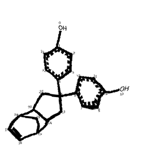 Oc1ccc(C2(c3ccc(O)cc3)CC3C4C=CC(C4)C3C2)cc1